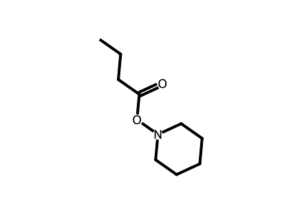 CCCC(=O)ON1CCCCC1